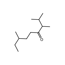 CCC(C)CCC(=O)C(C)C(C)C